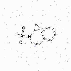 CS(=O)(=O)N(/C=C\c1ccccc1)C1CC1